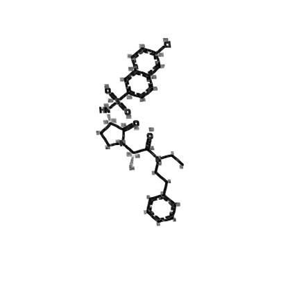 CCN(CCc1ccccc1)C(=O)[C@H](C)N1CC[C@H](NS(=O)(=O)c2ccc3cc(Cl)ccc3c2)C1=O